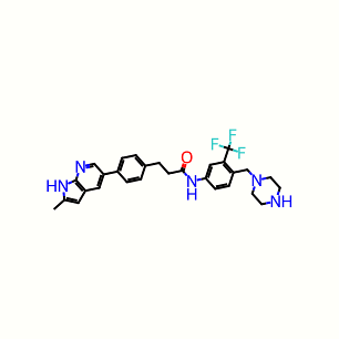 Cc1cc2cc(-c3ccc(CCC(=O)Nc4ccc(CN5CCNCC5)c(C(F)(F)F)c4)cc3)cnc2[nH]1